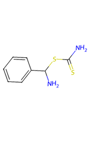 NC(=S)SC(N)c1ccccc1